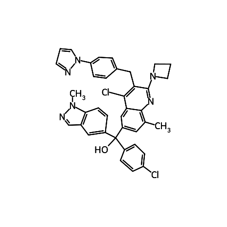 Cc1cc(C(O)(c2ccc(Cl)cc2)c2ccc3c(cnn3C)c2)cc2c(Cl)c(Cc3ccc(-n4cccn4)cc3)c(N3CCC3)nc12